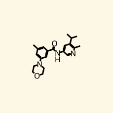 Cc1cc(C(=O)Nc2cnc(C)c(C(C)C)c2)cc(N2CCOCC2)c1